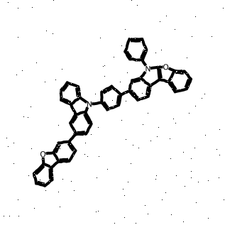 c1ccc(-n2c3cc(-c4ccc(-n5c6ccccc6c6cc(-c7ccc8c(c7)oc7ccccc78)ccc65)cc4)ccc3c3c4ccccc4oc32)cc1